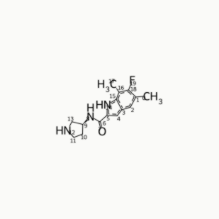 Cc1cc2cc(C(=O)N[C@H]3CCNC3)[nH]c2c(C)c1F